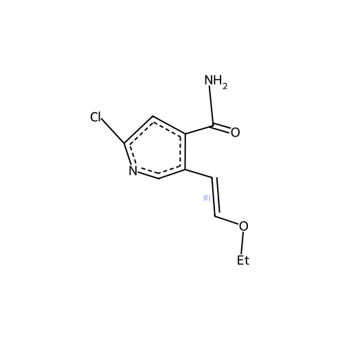 CCO/C=C/c1cnc(Cl)cc1C(N)=O